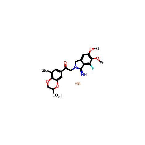 Br.CCOc1cc2c(c(F)c1OCC)C(=N)N(CC(=O)c1cc3c(c(C(C)(C)C)c1)OCC(C(=O)O)O3)C2